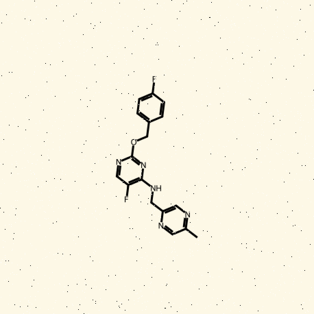 Cc1cnc(CNc2nc(OCc3ccc(F)cc3)ncc2F)cn1